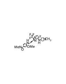 CNC(=O)c1ccc(NCC#Cc2nc3c(N[C@@H]4CCN(C)C[C@@H]4F)cccn3c2C(F)=C(F)F)c(OC)c1